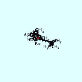 CCO[Si](CCCCCCCCOc1ccc(O)cc1[P+](c1ccc(C)cc1)(c1ccc(C)cc1)c1ccc(C)cc1)(OCC)OCC.[Br-]